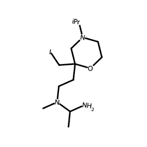 CC(N)N(C)CCC1(CI)CN(C(C)C)CCO1